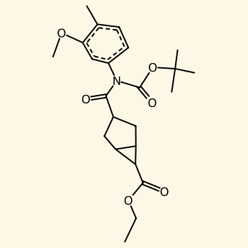 CCOC(=O)C1C2CC(C(=O)N(C(=O)OC(C)(C)C)c3ccc(C)c(OC)c3)CC21